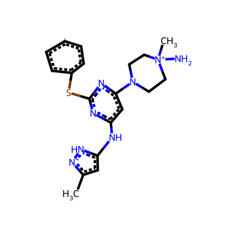 Cc1cc(Nc2cc(N3CC[N+](C)(N)CC3)nc(Sc3cc[c]cc3)n2)[nH]n1